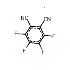 N#Cc1c(F)c(F)c(F)c(F)c1C#N